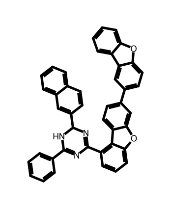 c1ccc(C2=NC(c3cccc4oc5cc(-c6ccc7oc8ccccc8c7c6)ccc5c34)=NC(c3ccc4ccccc4c3)N2)cc1